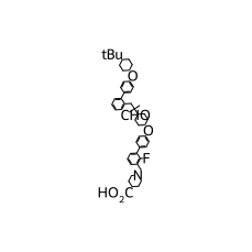 CC(C)(C)C1CCC(Oc2ccc(-c3cccc(C=O)c3CC(C)(C)C3CCC(Oc4ccc(-c5cccc(CN6CCC(C(=O)O)CC6)c5F)cc4)CC3)cc2)CC1